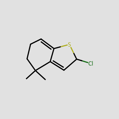 CC1(C)CCC=C2SC(Cl)C=C21